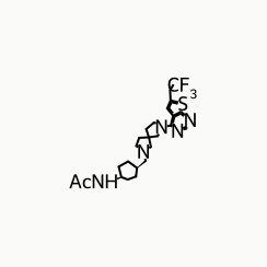 CC(=O)N[C@H]1CC[C@@H](CN2CCC3(CCN(c4ncnc5sc(CC(F)(F)F)cc45)C3)C2)CC1